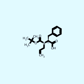 C=CCN(C(=O)OC(C)(C)C)[C@@H](Cc1ccccc1)C(=O)O